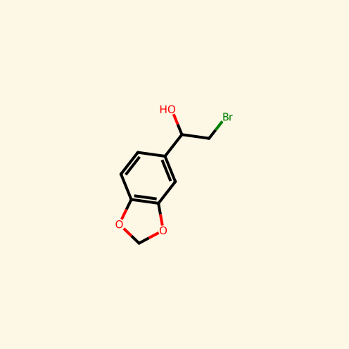 OC(CBr)c1ccc2c(c1)OCO2